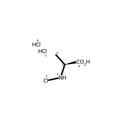 C[C@H](NCl)C(=O)O.Cl.Cl